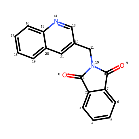 O=C1c2ccccc2C(=O)N1Cc1cnc2ccccc2c1